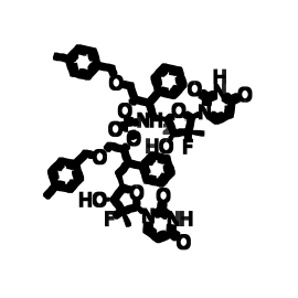 Cc1ccc(COCC(OP(N)(=O)OC(COCc2ccc(C)cc2)C(C[C@H]2O[C@@H](n3ccc(=O)[nH]c3=O)[C@](C)(F)[C@@H]2O)c2ccccc2)C(C[C@H]2O[C@@H](n3ccc(=O)[nH]c3=O)[C@](C)(F)[C@@H]2O)c2ccccc2)cc1